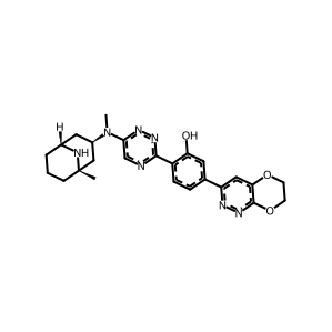 CN(c1cnc(-c2ccc(-c3cc4c(nn3)OCCO4)cc2O)nn1)[C@@H]1C[C@H]2CCC[C@@](C)(C1)N2